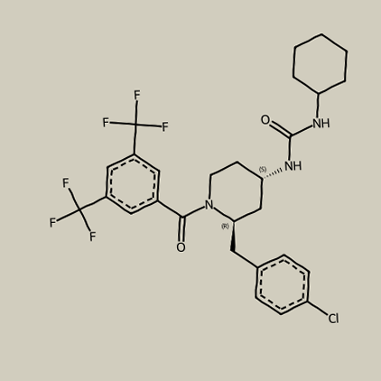 O=C(NC1CCCCC1)N[C@H]1CCN(C(=O)c2cc(C(F)(F)F)cc(C(F)(F)F)c2)[C@H](Cc2ccc(Cl)cc2)C1